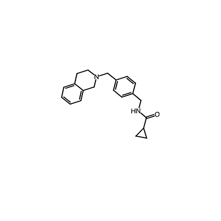 O=C(NCc1ccc(CN2CCc3ccccc3C2)cc1)C1CC1